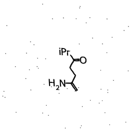 C=C(N)CCC(=O)C(C)C